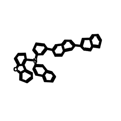 c1cc(-c2ccc3cc(-c4ccc5ccccc5c4)ccc3c2)cc(N(c2ccc3ccccc3c2)c2cccc3oc4ccccc4c23)c1